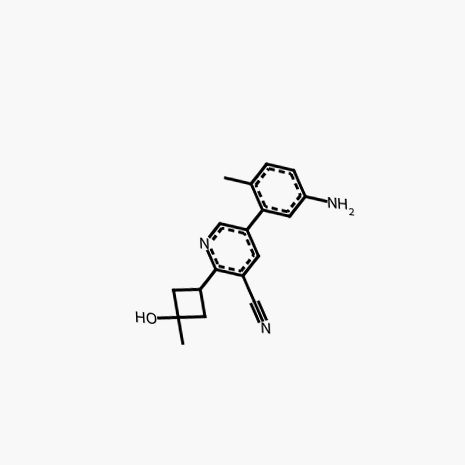 Cc1ccc(N)cc1-c1cnc(C2CC(C)(O)C2)c(C#N)c1